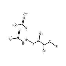 CC(=O)O.CC(=O)[O-].OC(CS)C(O)CS.[Na+]